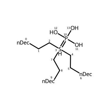 CCCCCCCCCCCC[SH](CCCCCCCCCCCC)(CCCCCCCCCCCC)=P(O)(O)O